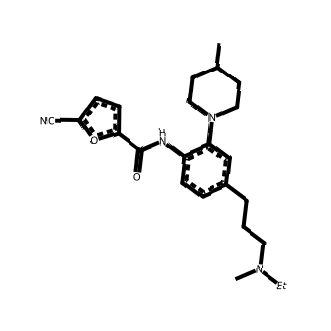 CCN(C)CCCc1ccc(NC(=O)c2ccc(C#N)o2)c(N2CCC(C)CC2)c1